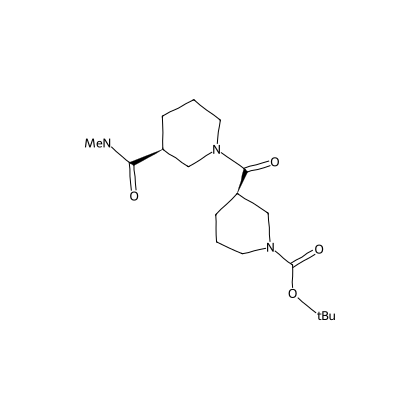 CNC(=O)[C@H]1CCCN(C(=O)[C@@H]2CCCN(C(=O)OC(C)(C)C)C2)C1